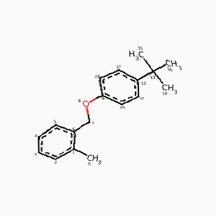 Cc1ccccc1COc1ccc(C(C)(C)C)cc1